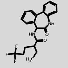 CCC(CCC(F)(F)F)C(=O)NC1C(=O)Nc2ccccc2-c2ccccc21